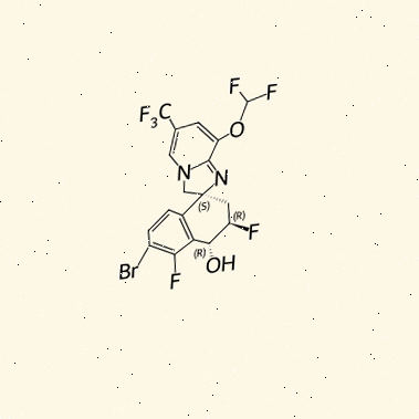 O[C@@H]1c2c(ccc(Br)c2F)[C@@]2(C[C@H]1F)CN1C=C(C(F)(F)F)C=C(OC(F)F)C1=N2